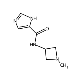 CN1CC(NC(=O)c2cnc[nH]2)C1